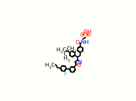 CCCc1ccc(-c2cccc(-c3cc(C(Cc4ccc(C(=O)NCCS(=O)(=O)O)cc4)c4ccc(C(C)(C)C)cc4)no3)c2)c(F)c1